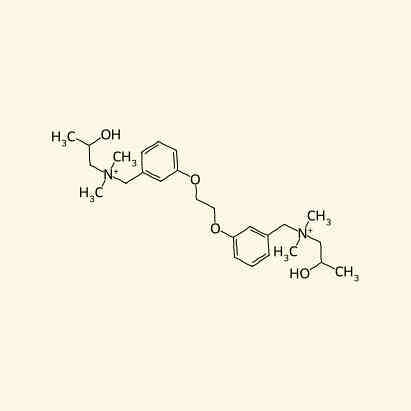 CC(O)C[N+](C)(C)Cc1cccc(OCCOc2cccc(C[N+](C)(C)CC(C)O)c2)c1